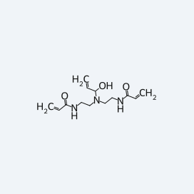 C=CC(=O)NCCN(CCNC(=O)C=C)C(O)C=C